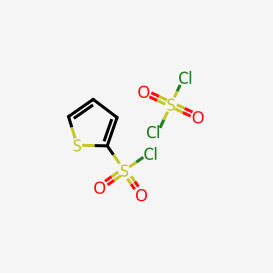 O=S(=O)(Cl)Cl.O=S(=O)(Cl)c1cccs1